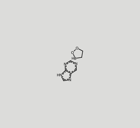 B1CCOO1.c1ncc2nc[nH]c2n1